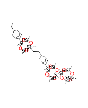 CCC1CC2CC1CC2[Si]1(C)O[SiH](C)O[Si](C)(CCC2CC3CC2CC3[Si]2(C)O[SiH](C)O[Si](C)([Si]3(C)O[SiH](C)O[SiH](C)O[SiH](C)O3)O[SiH](C)O2)O[SiH](C)O1